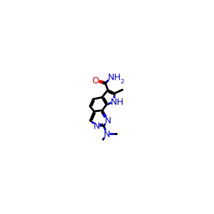 Cc1[nH]c2c(ccc3cnc(N(C)C)nc32)c1C(N)=O